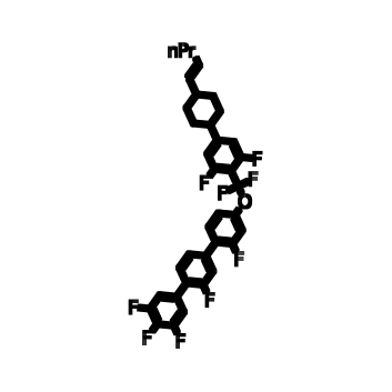 CCC/C=C/C1CCC(c2cc(F)c(C(F)(F)Oc3ccc(-c4ccc(-c5cc(F)c(F)c(F)c5)c(F)c4)c(F)c3)c(F)c2)CC1